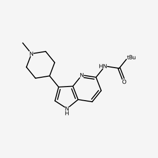 CN1CCC(c2c[nH]c3ccc(NC(=O)C(C)(C)C)nc23)CC1